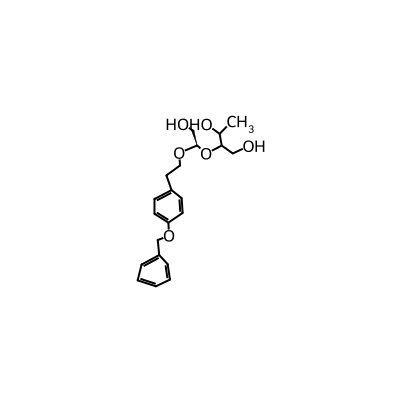 CC(O)C(CO)O[C@H](CO)OCCc1ccc(OCc2ccccc2)cc1